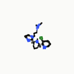 CN(C)CCCn1ccnc1[C@H]1CCC[C@@H](c2ncccc2Cl)N1C